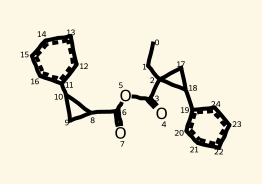 CCC1(C(=O)OC(=O)C2CC2c2ccccc2)CC1c1ccccc1